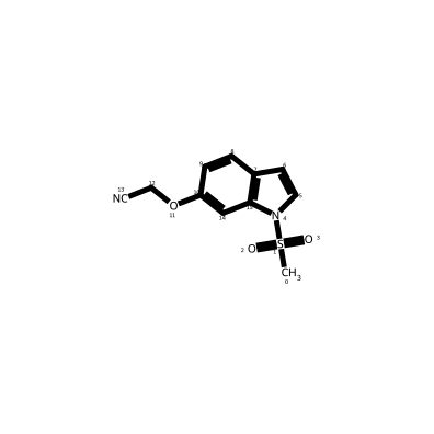 CS(=O)(=O)n1ccc2ccc(OCC#N)cc21